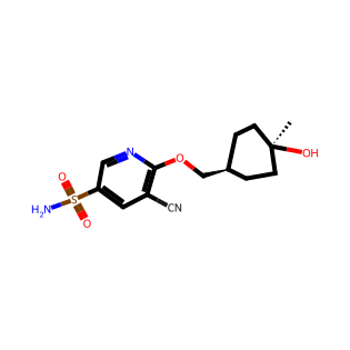 C[C@]1(O)CC[C@@H](COc2ncc(S(N)(=O)=O)cc2C#N)CC1